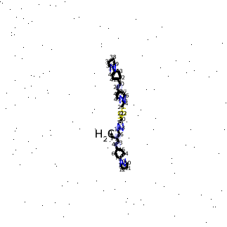 C=CC(/C=C/c1ccc(N2CCCC2)cc1)=C\C=N\CCSSCCN1C=CC(/C=C/c2ccc(N3CCCC3)cc2)=CC1